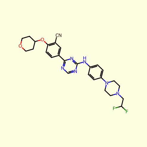 N#Cc1cc(-c2ncnc(Nc3ccc(N4CCN(CC(F)F)CC4)cc3)n2)ccc1OC1CCOCC1